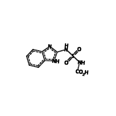 O=C(O)NS(=O)(=O)Nc1nc2ccccc2[nH]1